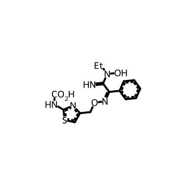 CCN(O)C(=N)C(=NOCc1csc(NC(=O)O)n1)c1ccccc1